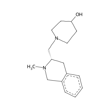 CN1Cc2ccccc2C[C@H]1CN1CCC(O)CC1